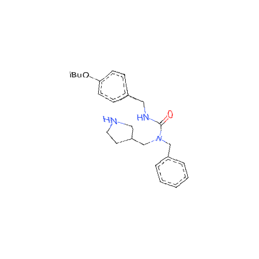 CC(C)COc1ccc(CNC(=O)N(Cc2ccccc2)CC2CCNC2)cc1